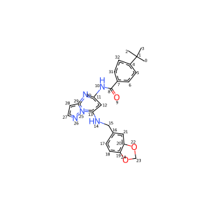 CC(C)(C)c1ccc(C(=O)Nc2cc(NCc3ccc4c(c3)OCO4)n3nccc3n2)cc1